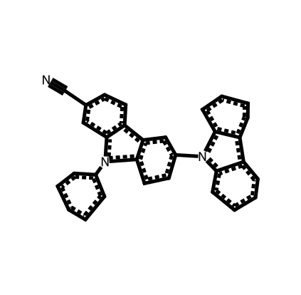 N#Cc1ccc2c3cc(-n4c5ccccc5c5ccccc54)ccc3n(-c3ccccc3)c2c1